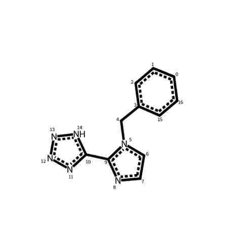 c1ccc(Cn2ccnc2-c2nnn[nH]2)cc1